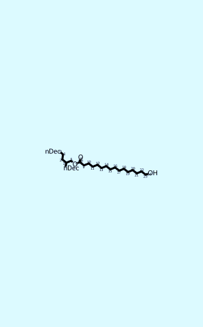 CCCCCCCCCCCCC(CCCCCCCCCC)COC(=O)CCCCCCCCCCCCCCCO